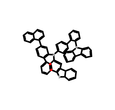 C1=CC2Sc3ccc(N(c4ccc(-c5ccccc5-n5c6ccccc6c6ccccc65)cc4)c4cc(-c5cccc6ccccc56)ccc4-c4ccccc4)cc3C2C=C1